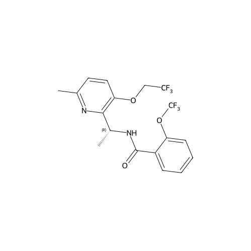 Cc1ccc(OCC(F)(F)F)c([C@@H](C)NC(=O)c2ccccc2OC(F)(F)F)n1